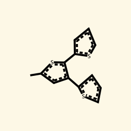 Cc1cc(-c2cccs2)c(-c2cccs2)s1